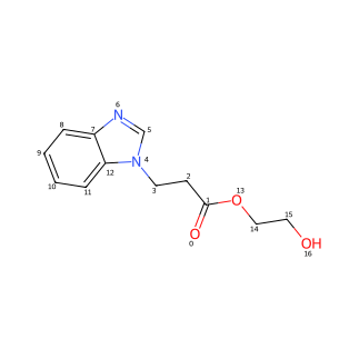 O=C(CCn1cnc2ccccc21)OCCO